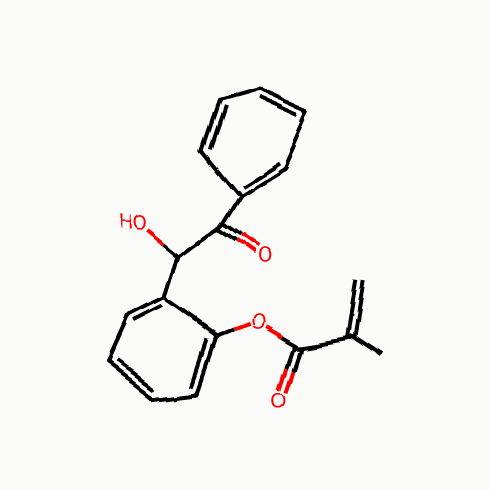 C=C(C)C(=O)Oc1ccccc1C(O)C(=O)c1ccccc1